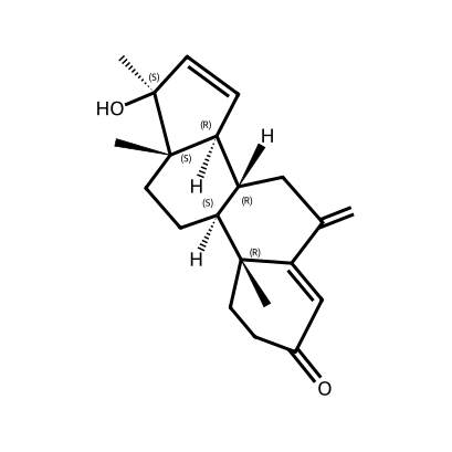 C=C1C[C@@H]2[C@H](CC[C@@]3(C)[C@H]2C=C[C@]3(C)O)[C@@]2(C)CCC(=O)C=C12